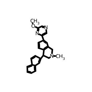 COc1cncc(-c2ccc3c(c2)CN(C)CC3c2ccc3ccccc3c2)n1